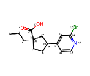 CCC[C@@]1(C(=O)O)CC[C@H](c2ccnc(Br)c2)C1